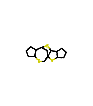 C1CC2SCC34CC(SC3C3CCCC3S4)C2C1